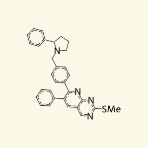 CSc1ncc2cc(-c3ccccc3)c(-c3ccc(CN4CCCC4c4ccccc4)cc3)nc2n1